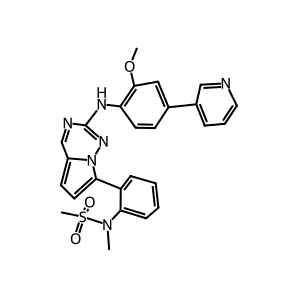 COc1cc(-c2cccnc2)ccc1Nc1ncc2ccc(-c3ccccc3N(C)S(C)(=O)=O)n2n1